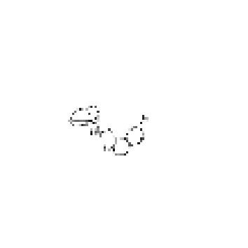 Brc1ccc2c(c1)C(CNC1C3CC4CC(C3)CC1C4)NCC2